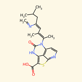 C=N/C(=C\C(C)=C(/C)N1C(=O)Nc2c(C(=O)O)sc3nccc1c23)CC(C)C